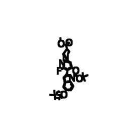 COC(=O)C1CN(c2ccc(-c3cc4cc(O[Si](C)(C)C(C)(C)C)ccc4n3C(=O)OC(C)(C)C)c(F)n2)C1